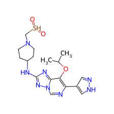 CC(C)Oc1c(-c2cn[nH]c2)ncn2nc(NC3CCN(C[SH](=O)=O)CC3)nc12